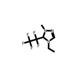 CCN1C=NN(C)C1C(F)(F)C(F)(F)F